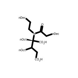 CCCCCCCCCCCCN(C(=O)CCCCCCCCCCC)[C@](CCCCCCCC)(C(=O)O)C(CCCCCCCC)CC(=O)O